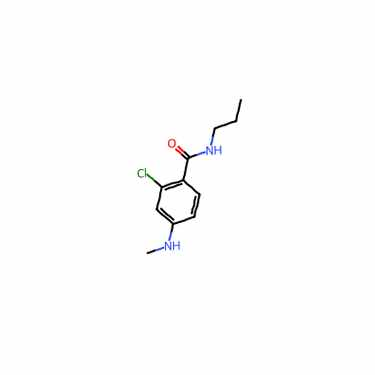 CCCNC(=O)c1ccc(NC)cc1Cl